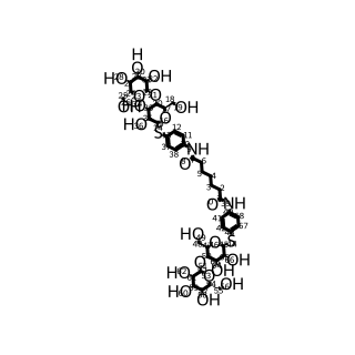 O=C(CCCCCC(=O)Nc1ccc(S[C@@H]2O[C@H](CO)[C@@H](O[C@H]3O[C@H](CO)[C@@H](O)[C@H](O)[C@H]3O)[C@H](O)[C@H]2O)cc1)Nc1ccc(S[C@@H]2O[C@H](CO)[C@@H](O[C@H]3O[C@H](CO)[C@@H](O)[C@H](O)[C@H]3O)[C@H](O)[C@H]2O)cc1